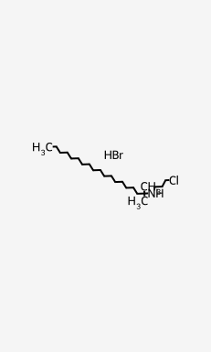 Br.CCCCCCCCCCCCCCCCCC(C)(C)NCCCCl